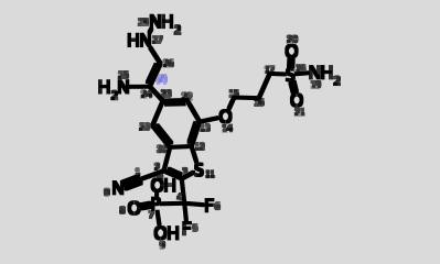 N#Cc1c(C(F)(F)P(=O)(O)O)sc2c(OCCCS(N)(=O)=O)cc(/C(N)=C/NN)cc12